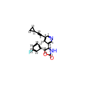 O=C1N[C@H](c2cncc(C#CC3CC3)c2)[C@@H](c2cccc(F)c2)O1